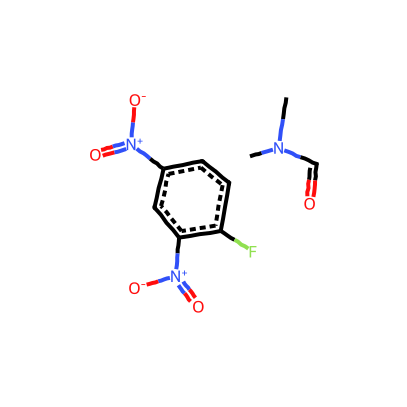 CN(C)C=O.O=[N+]([O-])c1ccc(F)c([N+](=O)[O-])c1